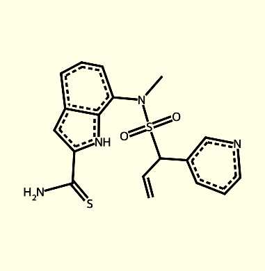 C=CC(c1cccnc1)S(=O)(=O)N(C)c1cccc2cc(C(N)=S)[nH]c12